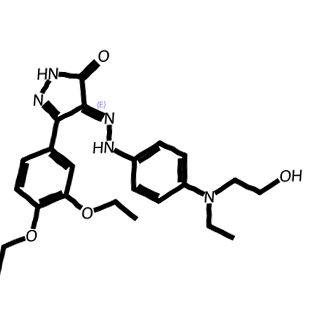 CCOc1ccc(C2=NNC(=O)/C2=N/Nc2ccc(N(CC)CCO)cc2)cc1OCC